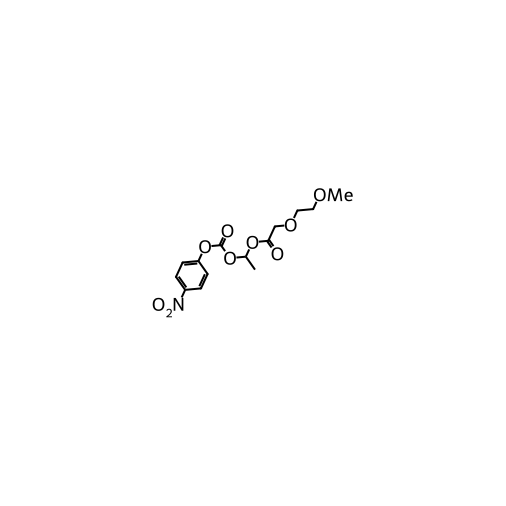 COCCOCC(=O)OC(C)OC(=O)Oc1ccc([N+](=O)[O-])cc1